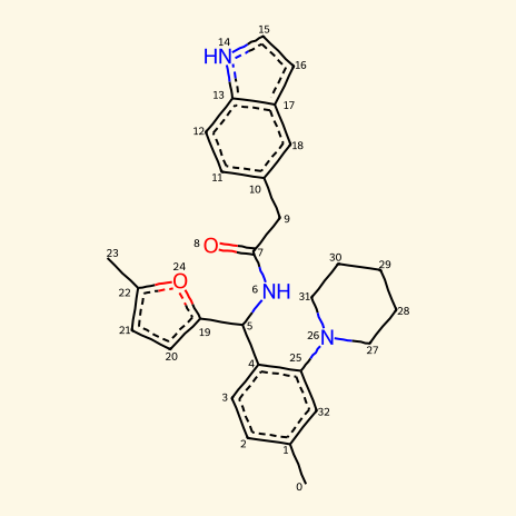 Cc1ccc(C(NC(=O)Cc2ccc3[nH]ccc3c2)c2ccc(C)o2)c(N2CCCCC2)c1